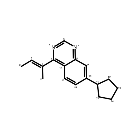 C/C=C(\C)c1ncnc2cc(C3CCCC3)ccc12